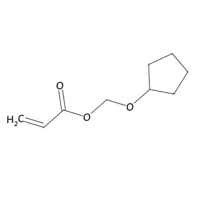 C=CC(=O)OCOC1CCCC1